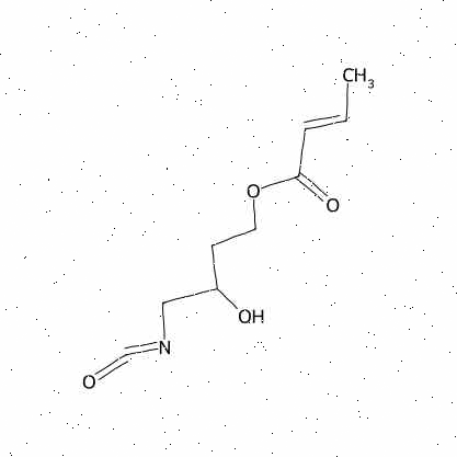 CC=CC(=O)OCCC(O)CN=C=O